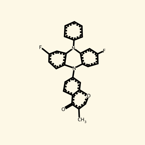 Cc1coc2cc(N3c4ccc(F)cc4N(c4ccccc4)c4cc(F)ccc43)ccc2c1=O